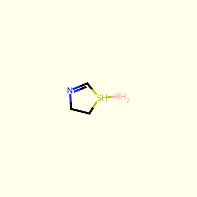 B[SH]1C=NCC1